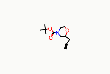 C#CCC1CN(C(=O)OC(C)(C)C)CCO1